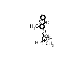 Cc1cc(OCC(O)CN(C)C(C)O)cc2c(=O)c3ccccc3sc12